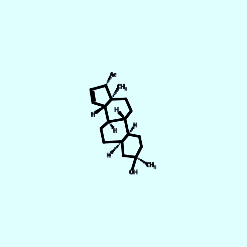 CC(=O)[C@H]1C=C[C@H]2[C@@H]3CC[C@@H]4C[C@](C)(O)CC[C@@H]4[C@H]3CC[C@]12C